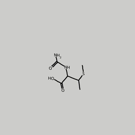 CSC(C)C(NC(N)=O)C(=O)O